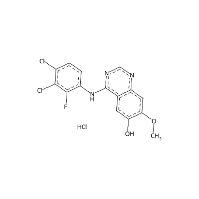 COc1cc2ncnc(Nc3ccc(Cl)c(Cl)c3F)c2cc1O.Cl